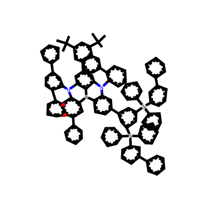 CC(C)(C)c1cc(-c2cc3c4c(c2)N(c2cc(-c5ccccc5)ccc2-c2ccccc2)c2ccc(-c5ccccc5)cc2B4c2ccc(-c4cc([Si](c5ccccc5)(c5ccccc5)c5cccc(-c6ccccc6)c5)cc([Si](c5ccccc5)(c5ccccc5)c5cccc(-c6ccccc6)c5)c4)cc2N3c2ccccc2-c2ccccc2)cc(C(C)(C)C)c1